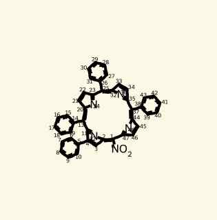 O=[N+]([O-])C1=C2C=C(c3ccccc3)C(=N2)C(c2ccccc2)=C2C=CC(=N2)C(c2ccccc2)=C2C=CC(=N2)C(c2ccccc2)=C2C=CC1=N2